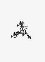 CCN(C)C1CN(c2nc3c(F)c(-c4c(C)c(C)cc5[nH]ncc45)c(Cl)cc3c3c2cnn3[C@H]2CCN[C@H](CC#N)C2)C1.O=C(O)C(F)(F)F.O=C(O)C(F)(F)F